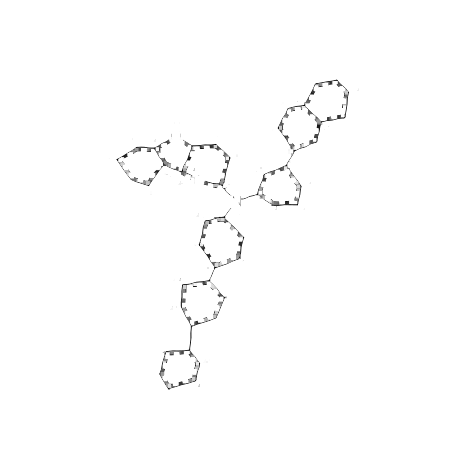 c1ccc(-c2ccc(-c3ccc(N(c4cccc(-c5ccc6ccccc6c5)c4)c4ccc5oc6ccccc6c5c4)cc3)cc2)cc1